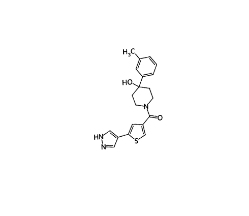 Cc1cccc(C2(O)CCN(C(=O)c3csc(-c4cn[nH]c4)c3)CC2)c1